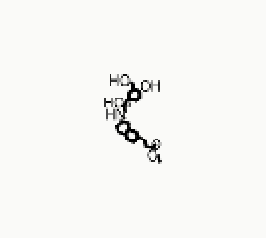 CCOC(=O)C=Cc1ccc2c(c1)C[C@@H](NC[C@@H](O)c1ccc(O)c(CO)c1)CC2